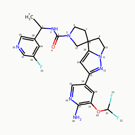 CC(NC(=O)N1CCC2(CCn3nc(-c4cnc(N)c(OC(F)F)c4)cc32)C1)c1cncc(F)c1